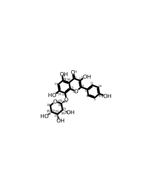 O=c1c(O)c(-c2ccc(O)cc2)oc2c(O[C@@H]3OC[C@@H](O)[C@H](O)[C@H]3O)c(O)cc(O)c12